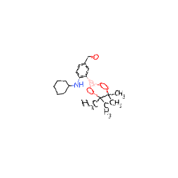 CC1(C)OB(c2cc(C=O)ccc2NC2CCCCC2)OC1(C)C